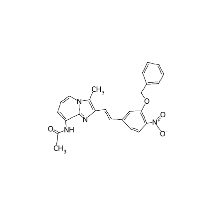 CC(=O)Nc1cccn2c(C)c(C=Cc3ccc([N+](=O)[O-])c(OCc4ccccc4)c3)nc12